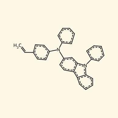 C=Cc1ccc(N(c2ccccc2)c2ccc3c4ccccc4n(-c4ccccc4)c3c2)cc1